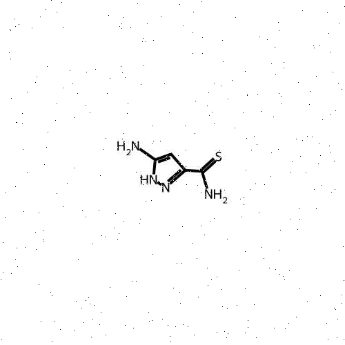 NC(=S)c1cc(N)[nH]n1